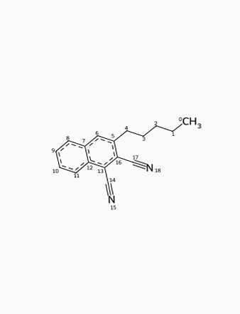 CCCCCc1cc2ccccc2c(C#N)c1C#N